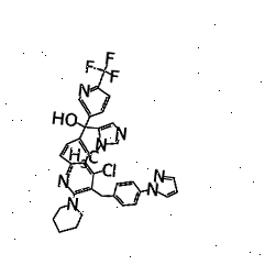 Cn1cncc1C(O)(c1ccc(C(F)(F)F)nc1)c1ccc2nc(N3CCCCC3)c(Cc3ccc(-n4cccn4)cc3)c(Cl)c2c1